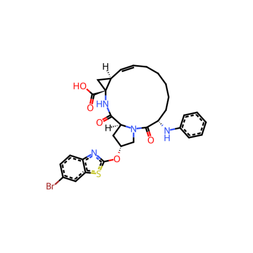 O=C1N[C@]2(C(=O)O)C[C@H]2/C=C\CCCCC[C@H](Nc2ccccc2)C(=O)N2C[C@H](Oc3nc4ccc(Br)cc4s3)C[C@@H]12